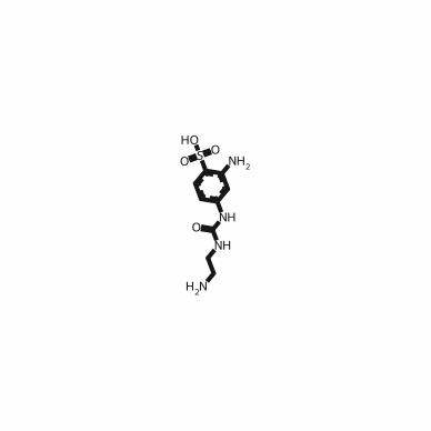 NCCNC(=O)Nc1ccc(S(=O)(=O)O)c(N)c1